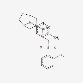 Cc1ccc(N2C3CCC2CN(C(=O)CCS(=O)(=O)c2ccccc2C(F)(F)F)C3)nc1